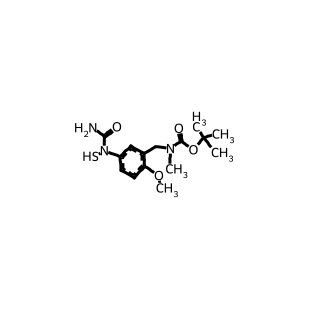 COc1ccc(N(S)C(N)=O)cc1CN(C)C(=O)OC(C)(C)C